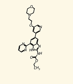 CCOC(=O)Nc1nc2cc(-c3cncc(OCCN4CCOCC4)c3)cc(-c3ncccn3)c2[nH]1